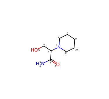 NC(=O)C(CO)N1CCCCC1